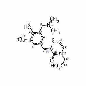 CN(C)Cc1cc(/C=C2\SC=CN(CC(=O)O)C2=O)cc(C(C)(C)C)c1O